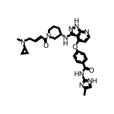 Cc1c[nH]c(NC(=O)c2ccc(Oc3ccnc4[nH]nc(N[C@@H]5CCCN(C(=O)C=CCN(C)C6CC6)C5)c34)cc2)n1